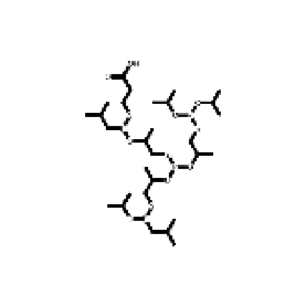 CC(C)CP(OC(C)C)SCC(C)OP(OC(C)CSP(OC(C)C)OC(C)C)SCC(C)OP(CC(C)C)SCCC(=O)O